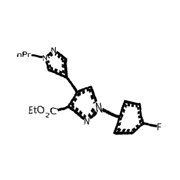 CCCn1cc(-c2cn(-c3ccc(F)cc3)nc2C(=O)OCC)cn1